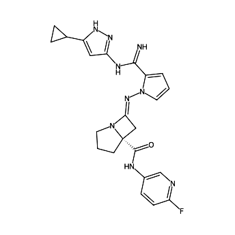 N=C(Nc1cc(C2CC2)[nH]n1)c1cccn1/N=C1\C[C@@]2(C(=O)Nc3ccc(F)nc3)CCCN12